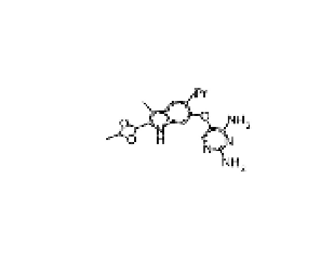 Cc1c(C2OC(C)O2)[nH]c2cc(Oc3cnc(N)nc3N)c(C(C)C)cc12